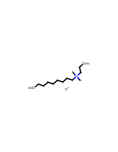 CCCCCCCCCCCCCCCCCC[N+](C)(C)CCCCCCCCCCCC.[Br-]